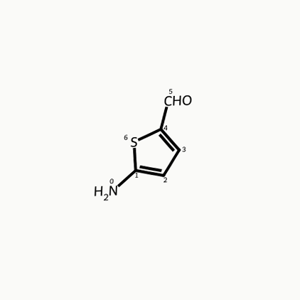 Nc1ccc(C=O)s1